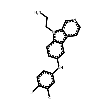 NCCn1c2ccc(Nc3ccc(Cl)c(Cl)c3)cc2c2ccncc21